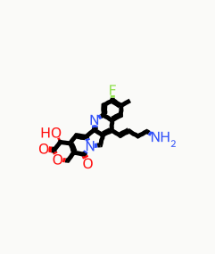 Cc1cc2c(/C=C/CCN)c3c(nc2cc1F)-c1cc2c(c(=O)n1C3)COC(=O)[C@H]2O